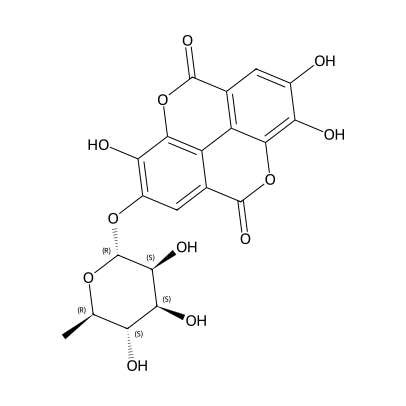 C[C@H]1O[C@H](Oc2cc3c(=O)oc4c(O)c(O)cc5c(=O)oc(c2O)c3c45)[C@@H](O)[C@@H](O)[C@@H]1O